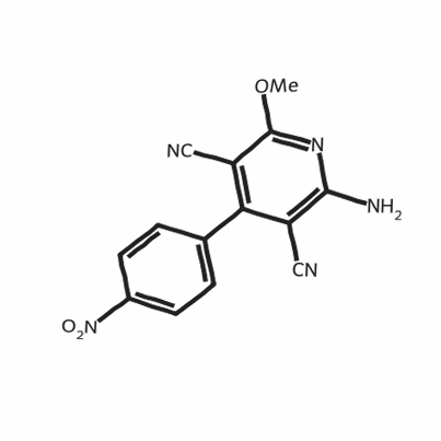 COc1nc(N)c(C#N)c(-c2ccc([N+](=O)[O-])cc2)c1C#N